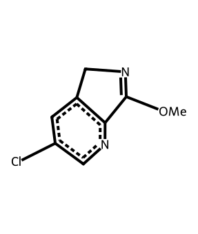 COC1=NCc2cc(Cl)cnc21